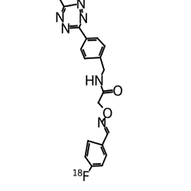 Cc1nnc(-c2ccc(CNC(=O)CO/N=C/c3ccc([18F])cc3)cc2)nn1